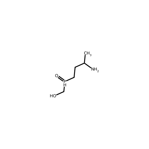 CC(N)CC[PH](=O)CO